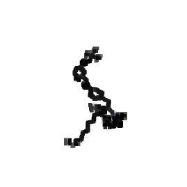 CCCCCCCC(=O)NC(/C=C/P(=O)(O)O)Cc1ccc(OCc2cc(OCC(F)(F)F)ccn2)cc1